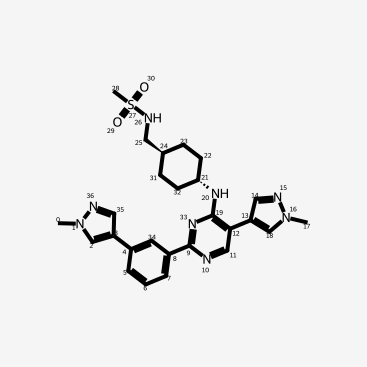 Cn1cc(-c2cccc(-c3ncc(-c4cnn(C)c4)c(N[C@H]4CC[C@H](CNS(C)(=O)=O)CC4)n3)c2)cn1